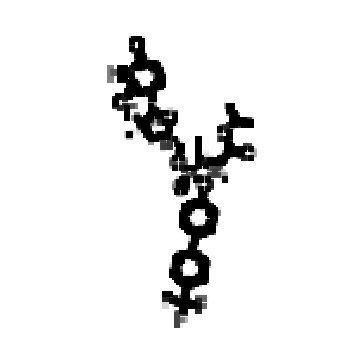 CC(C)OC(=O)[C@H](C)NP(=O)(OC[C@@H]1C[C@@](C)(F)[C@H](n2ccc(=O)[nH]c2=O)O1)Oc1ccc(-c2ccc(C(F)(F)F)cc2)cc1